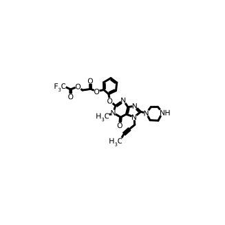 CC#CCn1c(N2CCNCC2)nc2nc(Oc3ccccc3OC(=O)COC(=O)C(F)(F)F)n(C)c(=O)c21